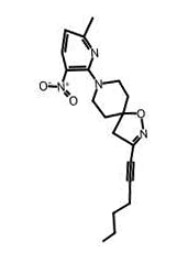 CCCCC#CC1=NOC2(CCN(c3nc(C)ccc3[N+](=O)[O-])CC2)C1